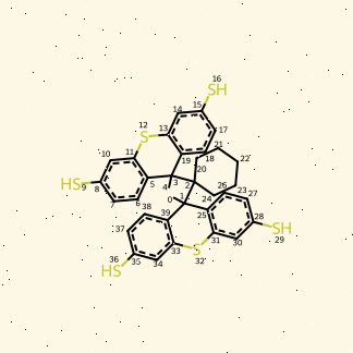 CC1(C2(C3(C)c4ccc(S)cc4Sc4cc(S)ccc43)CCCCC2)c2ccc(S)cc2Sc2cc(S)ccc21